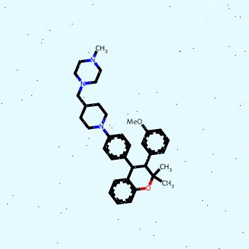 COc1cccc(C2C(c3ccc(N4CCC(CN5CCN(C)CC5)CC4)cc3)c3ccccc3OC2(C)C)c1